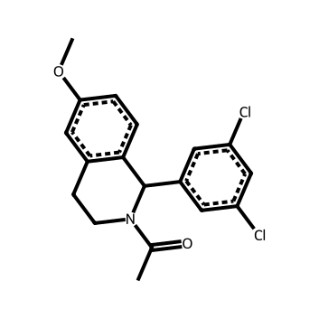 COc1ccc2c(c1)CCN(C(C)=O)C2c1cc(Cl)cc(Cl)c1